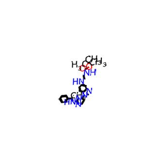 C[C@H](Nc1nccc(-n2cnc3cc(NCCNC(=O)OC(C)(C)C)ccc32)n1)c1ccccc1